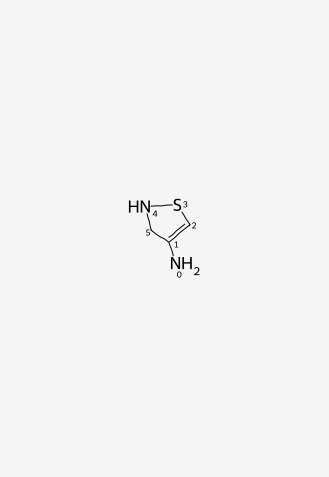 NC1=CSNC1